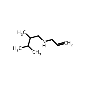 C=CCNCC(C)C(C)C